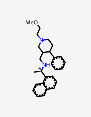 COCCN1CCC(c2ccccc2)C(CN[C@H](C)c2cccc3ccccc23)C1